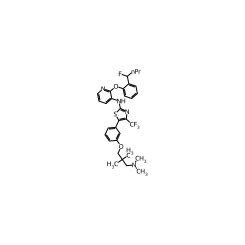 CCCC(F)c1ccccc1Oc1ncccc1Nc1nc(C(F)(F)F)c(-c2cccc(OCC(C)(C)CN(C)C)c2)s1